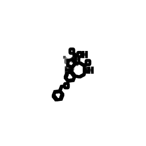 C[C@H]1C[C@@H]2c3ccc(OCc4ccccc4)cc3CCNC(=O)C[C@H]2[C@@H]1C(=O)O